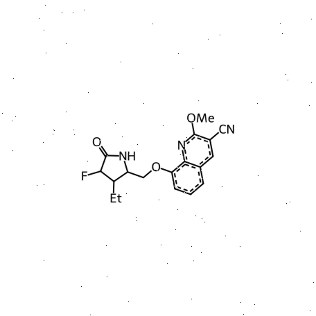 CCC1C(COc2cccc3cc(C#N)c(OC)nc23)NC(=O)C1F